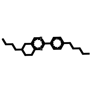 CCCCCc1ccc(-c2ncc3c(n2)CCC(CCCC)C3)cc1